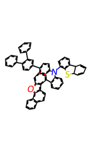 C1=CC2Sc3c(cccc3N(c3ccc(-c4ccc(-c5ccccc5)c(-c5ccccc5)c4)cc3)c3ccccc3-c3cccc4oc5c6ccccc6ccc5c34)C2C=C1